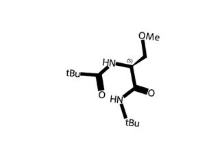 COC[C@H](NC(=O)C(C)(C)C)C(=O)NC(C)(C)C